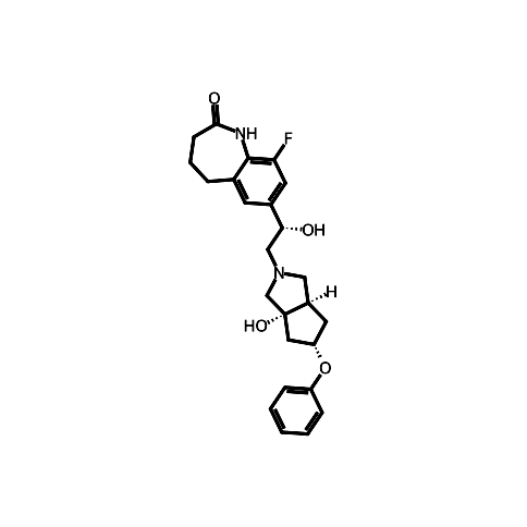 O=C1CCCc2cc([C@H](O)CN3C[C@H]4C[C@H](Oc5ccccc5)C[C@@]4(O)C3)cc(F)c2N1